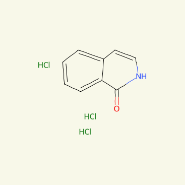 Cl.Cl.Cl.O=c1[nH]ccc2ccccc12